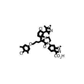 Cc1cc(OCCCc2c3n(c4c(-c5c(C)nn(C)c5C)c(Cl)ccc24)[C@H](C)CN(c2ccc4c(C(=O)O)nn(C)c4c2)C3=O)cc(C)c1Cl